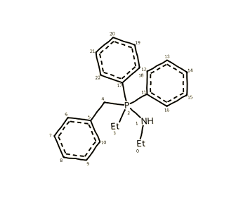 CCNP(CC)(Cc1ccccc1)(c1ccccc1)c1ccccc1